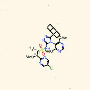 COc1ncnc(OC)c1-n1c(NS(=O)(=O)[C@@H](C)[C@H](OC)c2ncc(Cl)cn2)nnc1C12C3C4C5C3C1C5C42